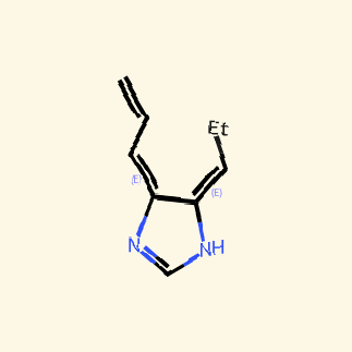 C=C/C=c1/nc[nH]/c1=C/CC